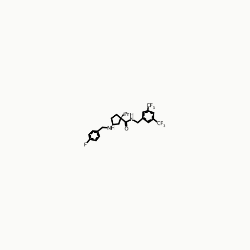 CC(C)[C@]1(C(=O)NCc2cc(C(F)(F)F)cc(C(F)(F)F)c2)CC[C@@H](NCc2ccc(F)cc2)C1